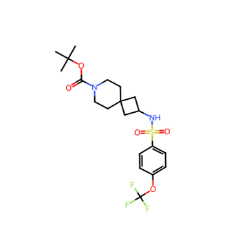 CC(C)(C)OC(=O)N1CCC2(CC1)CC(NS(=O)(=O)c1ccc(OC(F)(F)F)cc1)C2